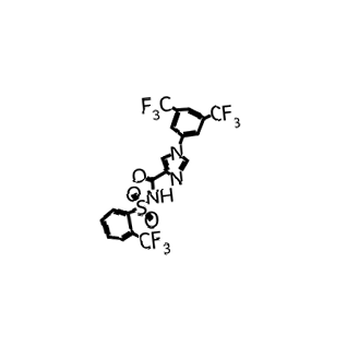 O=C(NS(=O)(=O)c1ccccc1C(F)(F)F)c1cn(-c2cc(C(F)(F)F)cc(C(F)(F)F)c2)cn1